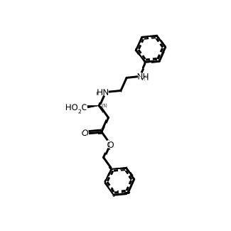 O=C(C[C@H](NCCNc1ccccc1)C(=O)O)OCc1ccccc1